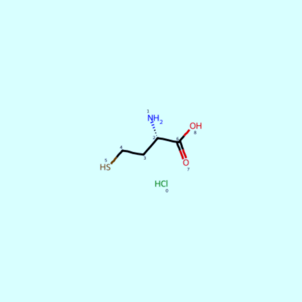 Cl.N[C@@H](CCS)C(=O)O